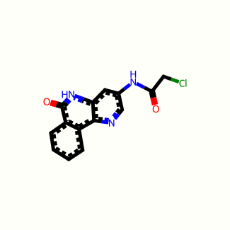 O=C(CCl)Nc1cnc2c(c1)[nH]c(=O)c1ccccc12